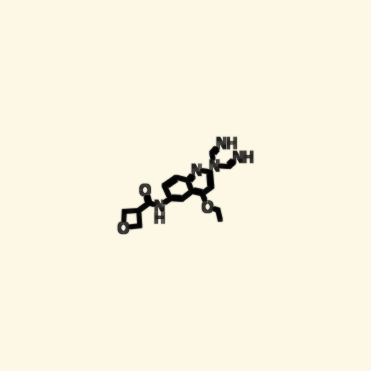 CCOc1cc(N(C=N)C=N)nc2ccc(NC(=O)C3COC3)cc12